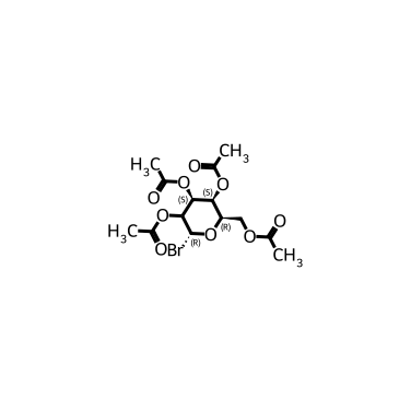 CC(=O)OC[C@H]1O[C@H](Br)C(OC(C)=O)[C@@H](OC(C)=O)[C@H]1OC(C)=O